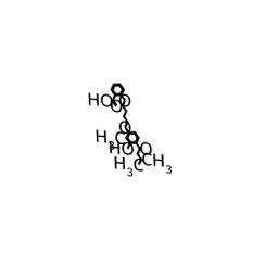 Cc1c(OCCCCOc2ccccc2C(=O)O)ccc(C(=O)CC(C)C)c1O